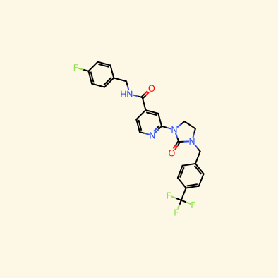 O=C(NCc1ccc(F)cc1)c1ccnc(N2CCN(Cc3ccc(C(F)(F)F)cc3)C2=O)c1